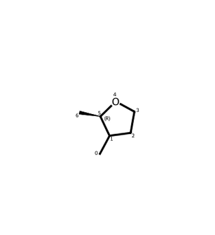 CC1CCO[C@@H]1C